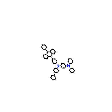 c1ccc(-c2ccc(N(c3ccc(-c4c5ccccc5c(-c5ccccc5)c5ccccc45)cc3)c3ccc(N(c4ccccc4)c4ccccc4)cc3)cc2)cc1